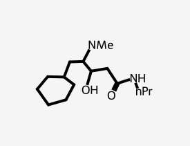 CCCNC(=O)CC(O)C(CC1CCCCC1)NC